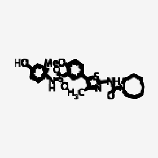 COc1ccc(-c2sc(NC(=O)N3CCCCCCC3)nc2C)cc1S(=O)(=O)Nc1ccc(O)cc1